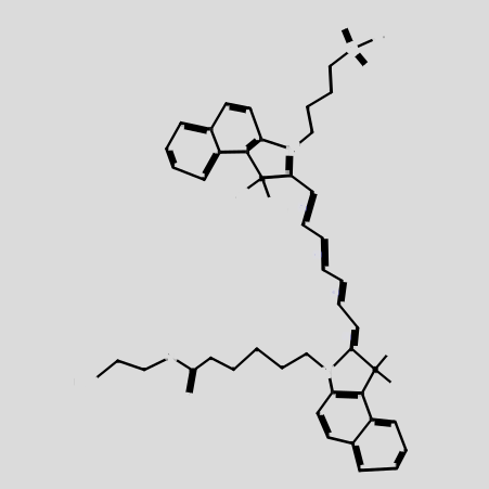 CCCNC(=O)CCCCCN1\C(=C/C=C/C=C/C=C/C2=[N+](CCCCS(=O)(=O)O)c3ccc4ccccc4c3C2(C)C)C(C)(C)c2c1ccc1ccccc21